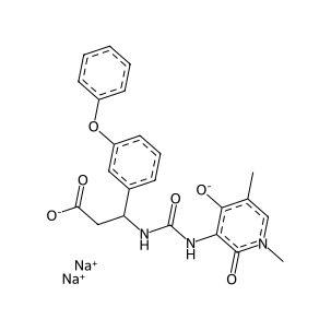 Cc1cn(C)c(=O)c(NC(=O)NC(CC(=O)[O-])c2cccc(Oc3ccccc3)c2)c1[O-].[Na+].[Na+]